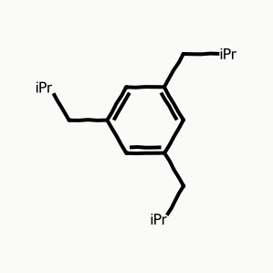 CC(C)Cc1cc(CC(C)C)cc(CC(C)C)c1